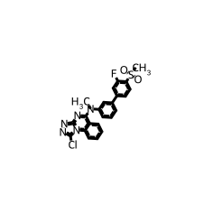 CN(c1cccc(-c2ccc(S(C)(=O)=O)c(F)c2)c1)c1nc2nnc(Cl)n2c2ccccc12